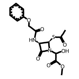 COC(=O)C(O)N1C(=O)[C@@H](NC(=O)COc2ccccc2)[C@H]1SC(C)=O